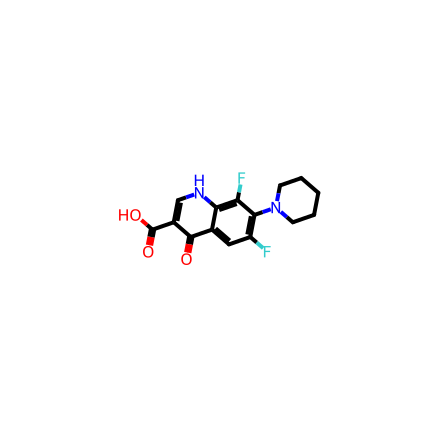 O=C(O)c1c[nH]c2c(F)c(N3CCCCC3)c(F)cc2c1=O